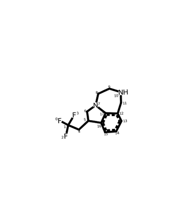 FC(F)(F)CC1CN2CCNCc3cccc1c32